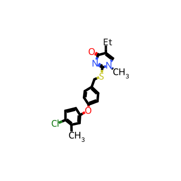 CCc1cn(C)c(SCc2ccc(Oc3ccc(Cl)c(C)c3)cc2)nc1=O